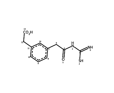 N=C(S)NC(=O)Cc1cccc(CC(=O)O)c1